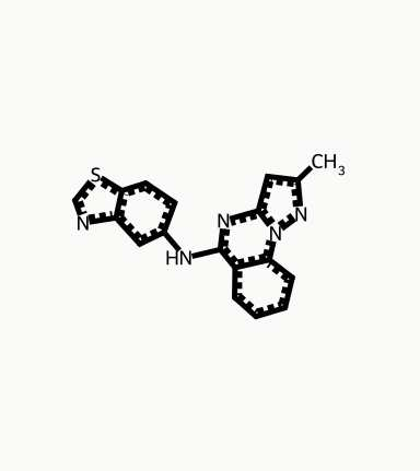 Cc1cc2nc(Nc3ccc4scnc4c3)c3ccccc3n2n1